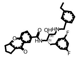 CCc1cccc(CNC[C@@H](O)[C@H](Cc2cc(F)cc(F)c2)NC(=O)c2ccc3oc4c(c(=O)c3c2)CCC4)c1